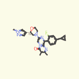 Cc1nc2c(-c3ccc(C4CC4)cc3F)nc(N3CCO[C@@H](c4cnn(C)c4)C3)cn2c(=O)c1C